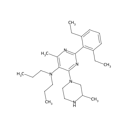 CCCN(CCC)c1c(C)nc(-c2c(CC)cccc2CC)nc1N1CCNC(C)C1